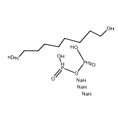 CCCCCCCCCCCCCCCCCCO.O=[PH](O)O[PH](=O)O.[NaH].[NaH].[NaH]